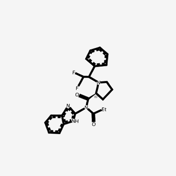 CCC(=O)N(C(=O)[C@@H]1CCCN1C(c1ccccc1)C(F)F)c1nc2ccccc2[nH]1